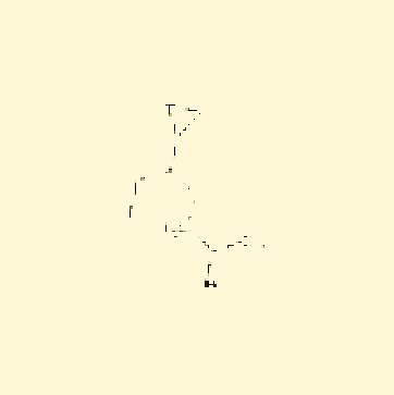 CC([SiH2]O[C@H](CI)C1CC1)C(C)(C)C